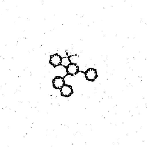 C[Si]1(C)c2ccccc2-c2c(-c3cccc4ccccc34)nc(-c3ccccc3)nc21